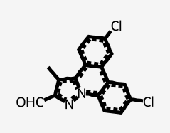 Cc1c(C=O)nn2c3ccc(Cl)cc3c3cc(Cl)ccc3c12